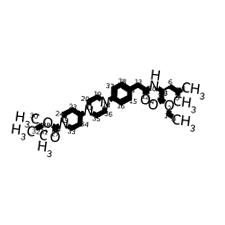 CCOC(=O)[C@H](CC(C)C)NC(=O)Cc1ccc(N2CCN(C3CCN(C(=O)OC(C)(C)C)CC3)CC2)cc1